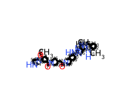 COc1ccc(C(=O)N2CCC(CC(=O)N3CCc4ccc(Nc5ncc6c(Nc7c(C)cccc7C)nn(C)c6n5)cc4C3)CC2)cc1N1C=CCNC1